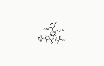 CC(=O)Oc1ccc(F)cc1[C@@H](Cn1c(=O)n(C(C)(C)C(=O)NC(C)C)c(=O)c2c(C)c(-n3nccn3)sc21)OCCC#N